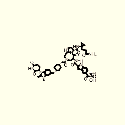 C=C1N(C)c2cc(C[C@H]3CC[C@@H](CC(=O)N4CC[C@H]5CC[C@@H](C(=O)NC6(CCC(N)=O)CC6)N5C(=O)[C@@H](NC(=O)c5cc6cc(C(=O)P(=O)(O)O)ccc6[nH]5)C4)CC3)ccc2N1C1CCC(=O)NC1=O